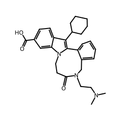 CN(C)CCN1Cc2ccccc2-c2c(C3CCCCC3)c3ccc(C(=O)O)cc3n2CCC1=O